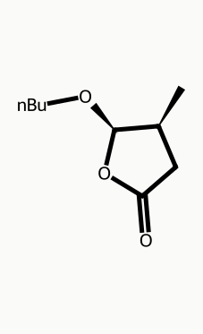 CCCCO[C@@H]1OC(=O)C[C@@H]1C